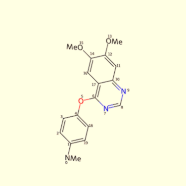 CNc1ccc(Oc2ncnc3cc(OC)c(OC)cc23)cc1